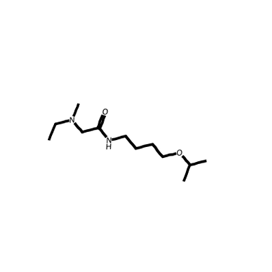 CCN(C)CC(=O)NCCCCOC(C)C